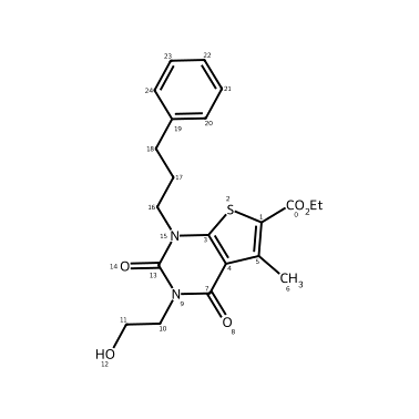 CCOC(=O)c1sc2c(c1C)c(=O)n(CCO)c(=O)n2CCCc1ccccc1